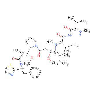 CC[C@H](C)[C@@H]([C@@H](CC(=O)N1CCCC1[C@H](OC)[C@H](C)C(=O)N[C@@H](Cc1ccccc1)c1nccs1)OC)N(C)[C@H](C(=O)NC(=O)[C@@H](NC)C(C)C)C(C)C